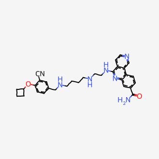 N#Cc1cc(CNCCCCNCCNc2nc3cc(C(N)=O)ccc3c3cnccc23)ccc1OC1CCC1